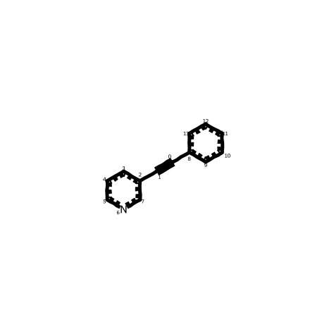 C(#Cc1cccnc1)c1cc[c]cc1